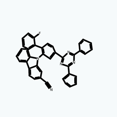 N#Cc1ccc2c3ccccc3n(-c3cc(-c4nc(-c5ccccc5)nc(-c5ccccc5)n4)ccc3-c3ccccc3F)c2c1